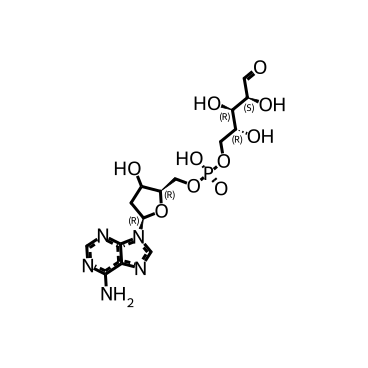 Nc1ncnc2c1ncn2[C@H]1CC(O)[C@@H](COP(=O)(O)OC[C@@H](O)[C@@H](O)[C@H](O)C=O)O1